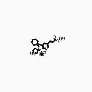 Cl.Cl.O=C(/C=C/c1cnc(N[C@]2(CC3CCCCC3)CCNC2)c(F)c1)NO